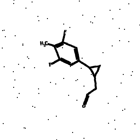 Cc1c(F)cc(C2CC2CC=O)cc1F